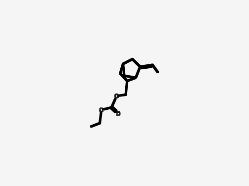 CC=C1CC2CC(COC(=O)OCC)C1C2